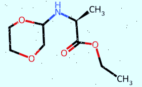 CCOC(=O)[C@H](C)NC1COCCO1